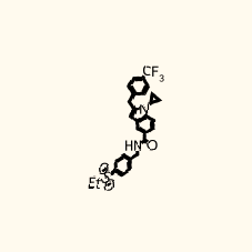 CCS(=O)(=O)c1ccc(CNC(=O)c2ccc3c(c2)cc(Cc2ccc(C(F)(F)F)cc2)n3C2CC2)cc1